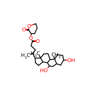 CC(CCC(=O)OC1CCCOC1=O)C1CCC2C3C(O)CC4CC(O)CCC4(C)C3CCC12C